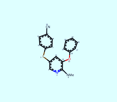 CNc1ncc(Sc2ccc(C#N)cc2)cc1Oc1ccccc1